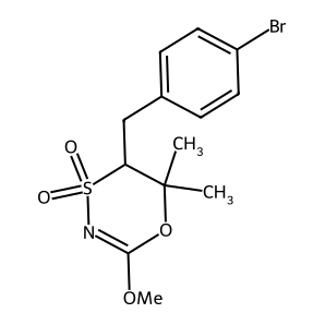 COC1=NS(=O)(=O)C(Cc2ccc(Br)cc2)C(C)(C)O1